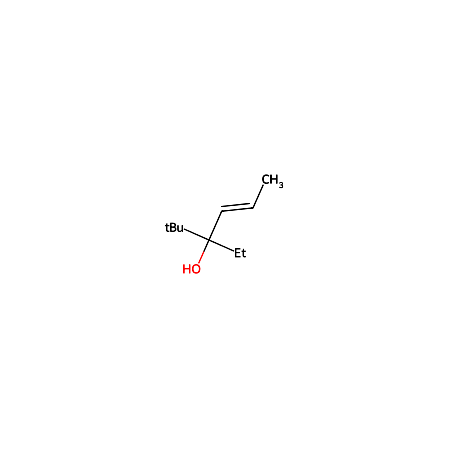 C/C=C/C(O)(CC)C(C)(C)C